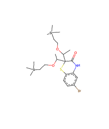 CC(OCC[Si](C)(C)C)C1(C(C)OCC[Si](C)(C)C)Sc2ccc(Br)cc2NC1=O